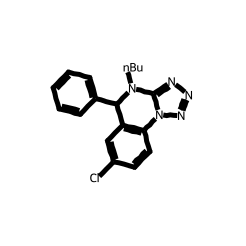 CCCCN1c2nnnn2-c2ccc(Cl)cc2C1c1ccccc1